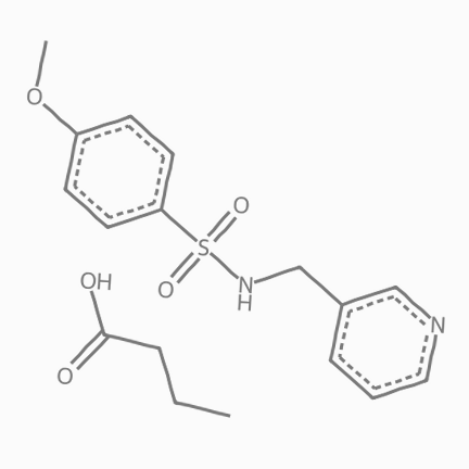 CCCC(=O)O.COc1ccc(S(=O)(=O)NCc2cccnc2)cc1